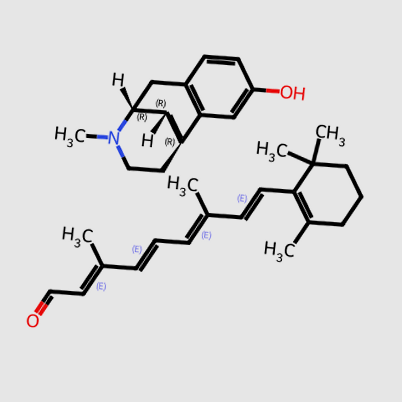 CC1=C(/C=C/C(C)=C/C=C/C(C)=C/C=O)C(C)(C)CCC1.CN1CC[C@]23CCCC[C@H]2[C@H]1Cc1ccc(O)cc13